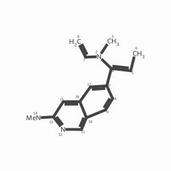 C=CN(C)/C(=C\C)c1ccc2cnc(NC)cc2c1